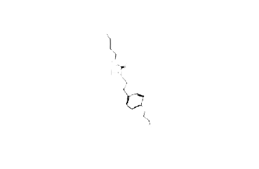 CCCCOC(=O)NCCc1ccc(OCCBr)cc1